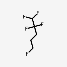 F[CH]CCC(F)(F)C(F)F